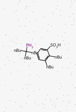 CCCCC(P)(CCCC)CCCC.CCCCc1cccc(S(=O)(=O)O)c1CCCC